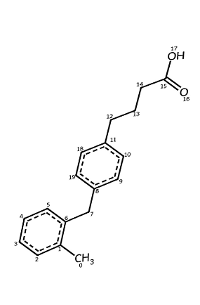 Cc1ccccc1Cc1ccc(CCCC(=O)O)cc1